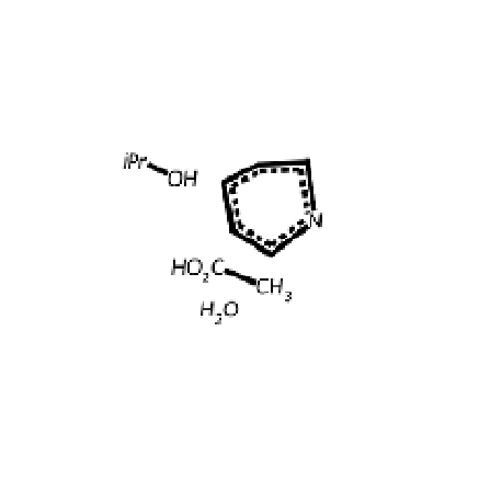 CC(=O)O.CC(C)O.O.c1ccncc1